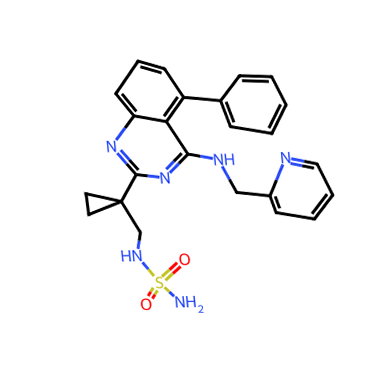 NS(=O)(=O)NCC1(c2nc(NCc3ccccn3)c3c(-c4ccccc4)cccc3n2)CC1